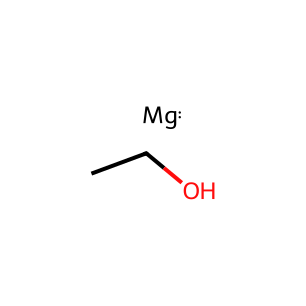 CCO.[Mg]